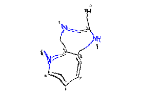 [3H]c1nc2ncccc2[nH]1